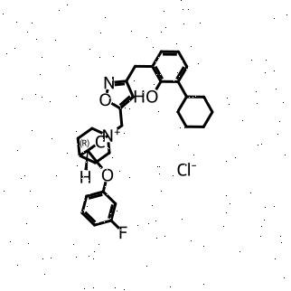 Oc1c(Cc2cc(C[N+]34CCC(CC3)[C@@H](Oc3cccc(F)c3)C4)on2)cccc1C1CCCCC1.[Cl-]